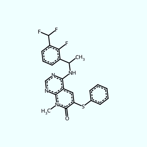 CC(Nc1ncnc2c1cc(Sc1ccccc1)c(=O)n2C)c1cccc(C(F)F)c1F